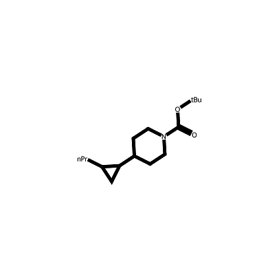 CCCC1CC1C1CCN(C(=O)OC(C)(C)C)CC1